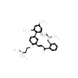 Cc1cc(C)c(-c2ccc(OCCN(C)C)c(C=CC(=O)c3ccccc3CN(C)C)c2)c(C)c1